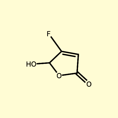 O=C1C=C(F)C(O)O1